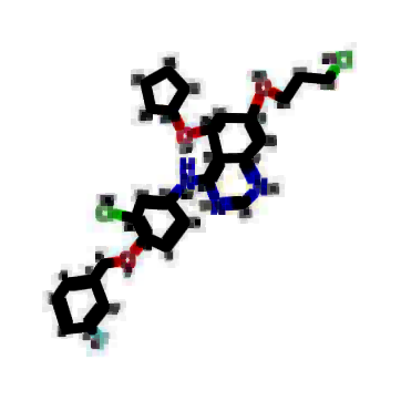 Fc1cccc(COc2ccc(Nc3ncnc4cc(OCCCCl)cc(OC5CCCC5)c34)cc2Cl)c1